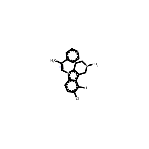 C/C(=C/n1c2c(c3c(Cl)c(Cl)ccc31)CN(C)CC2)c1ccncc1